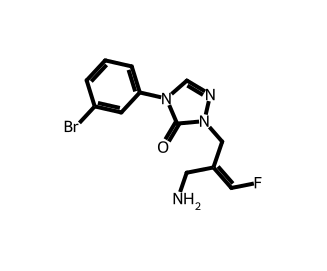 NC/C(=C/F)Cn1ncn(-c2cccc(Br)c2)c1=O